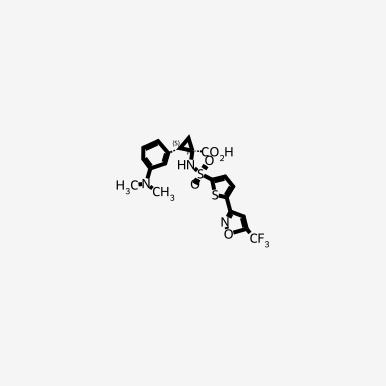 CN(C)c1cccc([C@@H]2C[C@]2(NS(=O)(=O)c2ccc(-c3cc(C(F)(F)F)on3)s2)C(=O)O)c1